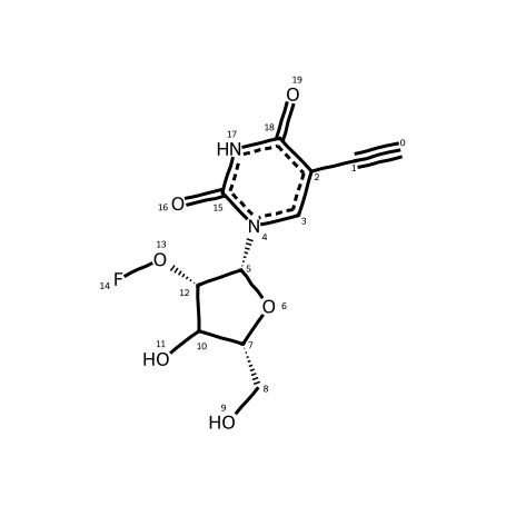 C#Cc1cn([C@@H]2O[C@H](CO)C(O)[C@@H]2OF)c(=O)[nH]c1=O